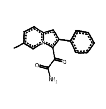 Cc1ccc2cc(-c3ccccc3)c(C(=O)C(N)=O)n2c1